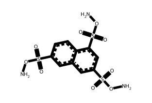 NOS(=O)(=O)c1ccc2c(S(=O)(=O)ON)cc(S(=O)(=O)ON)cc2c1